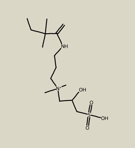 C=C(NCCC[N+](C)(C)CC(O)CS(=O)(=O)O)C(C)(C)CC